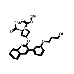 COC(=O)[C@@H]1C[C@@H](Oc2nc3ccccc3cc2-c2cccc(OCCCO)c2)CN1C(=O)OC(C)(C)C